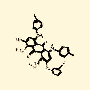 Cc1ccc(Nc2cc(Br)c(N)c3c2C(=O)c2c(Nc4ccc(C)cc4)cc(Oc4cccc(F)c4)c(N)c2C3=O)cc1